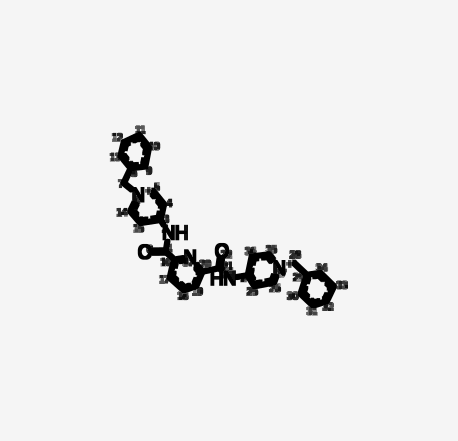 O=C(Nc1cc[n+](Cc2ccccc2)cc1)c1cccc(C(=O)Nc2cc[n+](Cc3ccccc3)cc2)n1